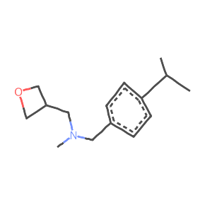 CC(C)c1ccc(CN(C)CC2COC2)cc1